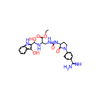 CCOC(=O)C(CNC(=O)NC1CCN(c2ccc(C(=N)N)cc2)C1=O)NC(O)c1[nH]c2ccccc2c1O